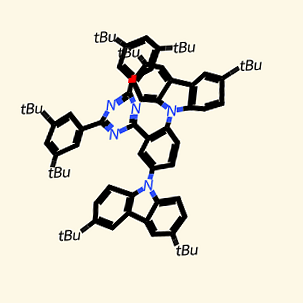 CC(C)(C)c1cc(-c2nc(-c3cc(C(C)(C)C)cc(C(C)(C)C)c3)nc(-c3cc(-n4c5ccc(C(C)(C)C)cc5c5cc(C(C)(C)C)ccc54)ccc3-n3c4ccc(C(C)(C)C)cc4c4cc(C(C)(C)C)ccc43)n2)cc(C(C)(C)C)c1